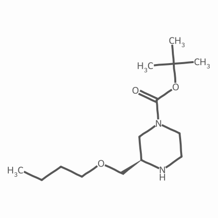 CCCCOC[C@H]1CN(C(=O)OC(C)(C)C)CCN1